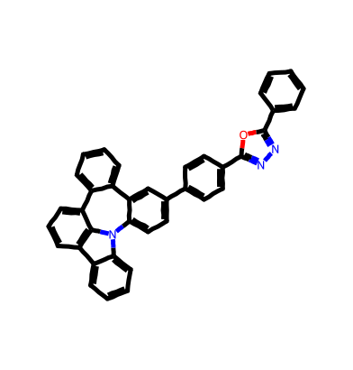 c1ccc(-c2nnc(-c3ccc(-c4ccc5c(c4)-c4ccccc4-c4cccc6c7ccccc7n-5c46)cc3)o2)cc1